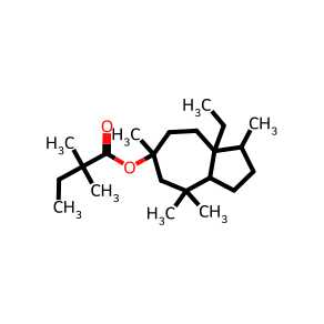 CCC(C)(C)C(=O)OC1(C)CCC2(CC)C(C)CCC2C(C)(C)C1